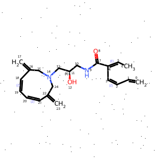 C=C/C=C\C(=C/C)C(=O)NC[C@@H](O)CN1CC(=C)/C=C\C=C/C(=C)C1